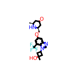 C[C@H]1CC(=O)C[C@@H](COc2cc(C(F)(F)F)c3c(c2)ncn3C2CC(C)(O)C2)N1